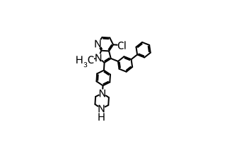 Cn1c(-c2ccc(N3CCNCC3)cc2)c(-c2cccc(-c3ccccc3)c2)c2c(Cl)ccnc21